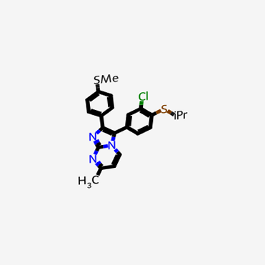 CSc1ccc(-c2nc3nc(C)ccn3c2-c2ccc(SC(C)C)c(Cl)c2)cc1